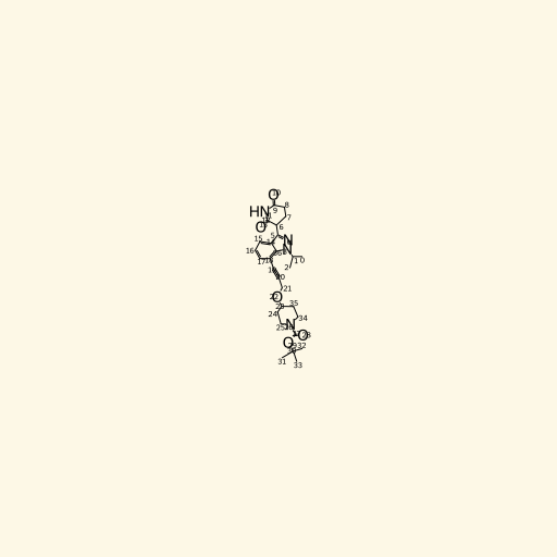 CC(C)n1nc(C2CCC(=O)NC2=O)c2cccc(C#CCOC3CCN(C(=O)OC(C)(C)C)CC3)c21